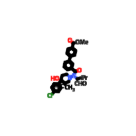 COC(=O)c1ccc(-c2cccc(C(=O)N([C@@H](C=O)C(C)C)N3CC[C@](O)(c4ccc(Cl)cc4)C(C)(C)C3)c2)cc1